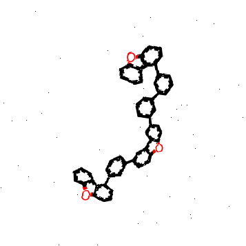 c1cc(-c2cccc(-c3cccc4oc5ccccc5c34)c2)cc(-c2ccc3oc4ccc(-c5cccc(-c6cccc7oc8ccccc8c67)c5)cc4c3c2)c1